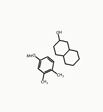 COc1ccc(C)c(C)c1.OC1CCC2CCCCC2C1